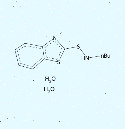 CCCCNSc1nc2ccccc2s1.O.O